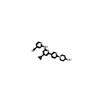 N#Cc1ccnc(Nc2cc(C3CC3)cc(-c3ccc(N4CCC(O)CC4)nc3)n2)c1